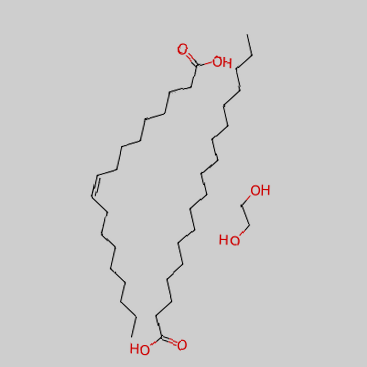 CCCCCCCC/C=C\CCCCCCCC(=O)O.CCCCCCCCCCCCCCCCCC(=O)O.OCCO